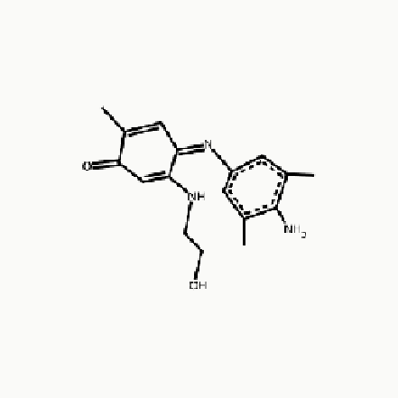 CC1=C/C(=N/c2cc(C)c(N)c(C)c2)C(NCCO)=CC1=O